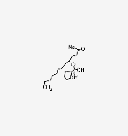 CCCCCCCCCCC[C](=O)[Na].O=C(O)[C@@H]1CCCN1